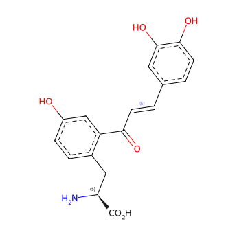 N[C@@H](Cc1ccc(O)cc1C(=O)/C=C/c1ccc(O)c(O)c1)C(=O)O